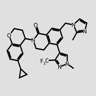 Cc1nccn1Cc1cc2c(c(-c3cn(C)nc3C(F)(F)F)c1)CCN(C1CCOc3ccc(C4CC4)cc31)C2=O